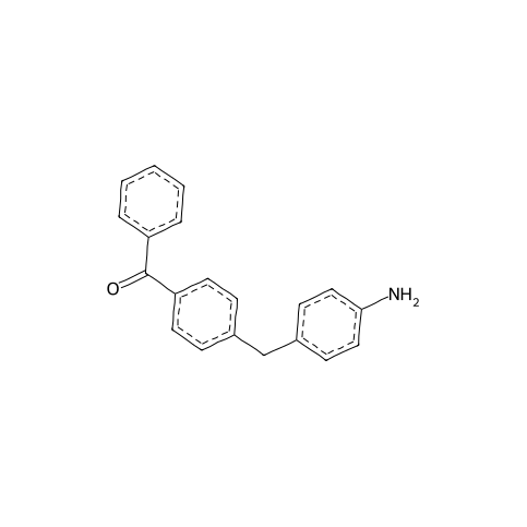 Nc1ccc(Cc2ccc(C(=O)c3ccccc3)cc2)cc1